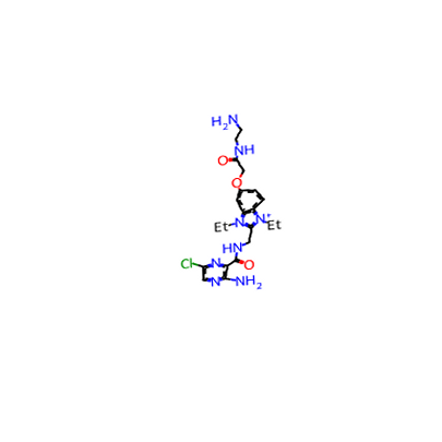 CCn1c(CNC(=O)c2nc(Cl)cnc2N)[n+](CC)c2ccc(OCC(=O)NCCN)cc21